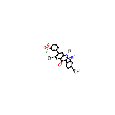 C#Cc1ccc2c(c1)[nH]c1c2c(=O)c2cc(CC)c(-c3cccc(S(=O)(=O)F)c3)cc2n1CC